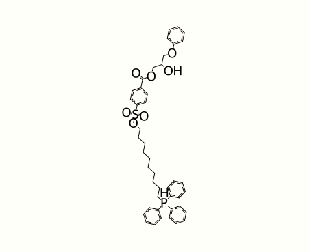 O=C(OCC(O)COc1ccccc1)c1ccc(S(=O)(=O)OCCCCCCCCCC[PH](c2ccccc2)(c2ccccc2)c2ccccc2)cc1